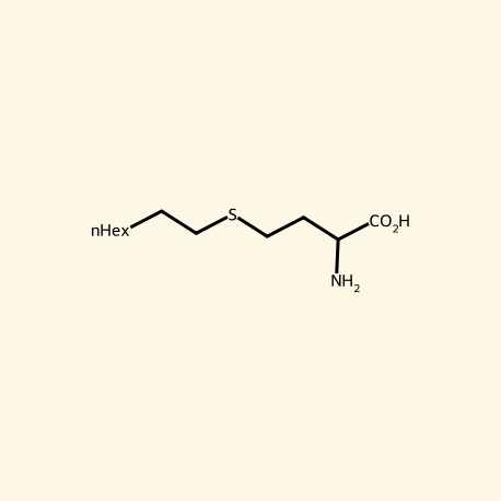 CCCCCCCCSCCC(N)C(=O)O